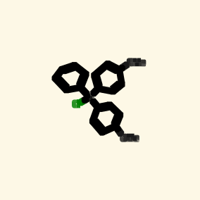 COc1ccc([Si](Cl)(c2ccccc2)c2ccc(OC)cc2)cc1